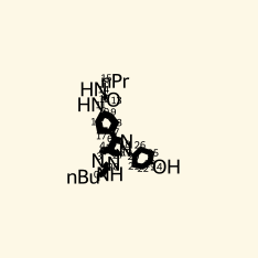 CCCCNc1ncc2c(-c3ccc(NC(=O)NCCC)cc3)nn([C@H]3CC[C@H](O)CC3)c2n1